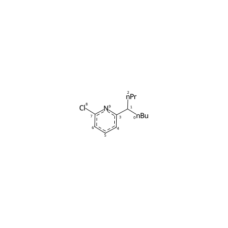 CCCCC(CCC)c1cccc(Cl)n1